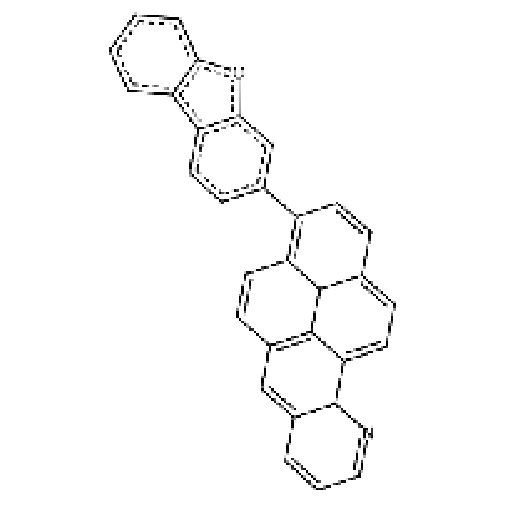 C1=CC2=CC3=C4C(=CC=C5C=CC(c6ccc7c(c6)oc6ccccc67)=C(C=C3)C54)C2N=C1